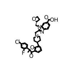 CC1(c2ccc(Cl)cc2F)Oc2c(cccc2C2CCN(Cc3nc4ccc(C(=O)O)cc4n3C[C@@H]3CCO3)CC2)C1=O